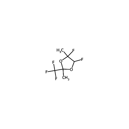 CC1(F)OC(C)(C(F)(F)F)OC1F